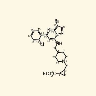 CCOC(=O)C1CC1CN1CCC(CNc2cc(-c3ccccc3Cl)nc3c(Br)cnn23)CC1